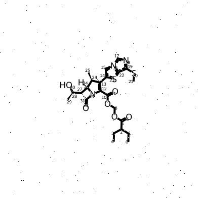 CCC(CC)C(=O)OCOC(=O)C1=C(c2cn3cnc(SC)c3s2)[C@H](C)[C@@H]2[C@@H]([C@@H](C)O)C(=O)N12